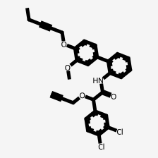 C#CCOC(C(=O)Nc1ccccc1-c1ccc(OCC#CCC)c(OC)c1)c1ccc(Cl)c(Cl)c1